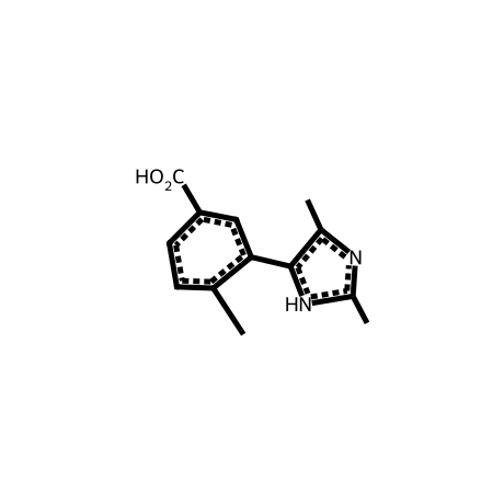 Cc1nc(C)c(-c2cc(C(=O)O)ccc2C)[nH]1